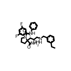 CCc1cccc(CNC[C@H](O)[C@@H](Cc2cc(F)cc(F)c2)C2(C(N)=O)CCCN2C(=O)Nc2ccccc2)c1